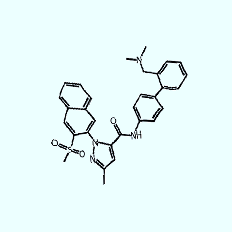 Cc1cc(C(=O)Nc2ccc(-c3ccccc3CN(C)C)cc2)n(-c2cc3ccccc3cc2S(C)(=O)=O)n1